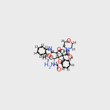 CCC(OC(N)=O)(C(=O)c1nc2ccccc2o1)C(C)(C(=O)N1CCOCC1)c1ccccc1